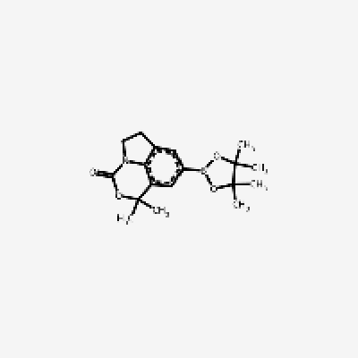 CC1(C)OC(=O)N2CCc3cc(B4OC(C)(C)C(C)(C)O4)cc1c32